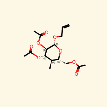 C=CCO[C@@H]1O[C@H](COC(C)=O)[C@@H](C)[C@H](OC(C)=O)[C@H]1OC(C)=O